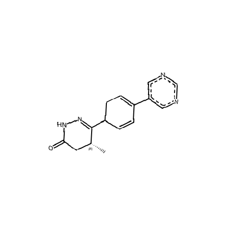 C[C@@H]1CC(=O)NN=C1C1C=CC(c2cncnc2)=CC1